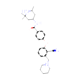 CC1CC(NC(=O)c2ccc(Oc3cccc(CN4CCCCC4)c3C#N)cc2)CC(C)(C)N1